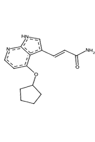 NC(=O)C=Cc1c[nH]c2nccc(OC3CCCC3)c12